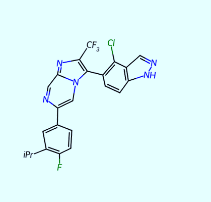 CC(C)c1cc(-c2cn3c(-c4ccc5[nH]ncc5c4Cl)c(C(F)(F)F)nc3cn2)ccc1F